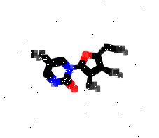 CC[C@H]1O[C@@H](n2cc(C)cnc2=O)[C@H](C)[C@@H]1C